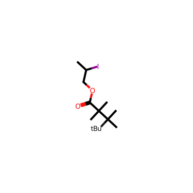 CC(I)COC(=O)C(C)(C)C(C)(C)C(C)(C)C